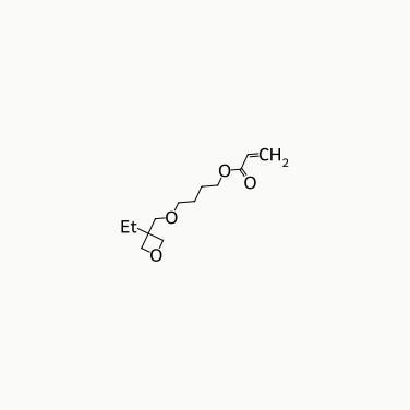 C=CC(=O)OCCCCOCC1(CC)COC1